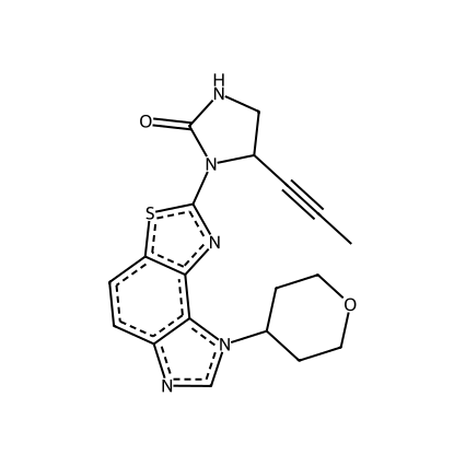 CC#CC1CNC(=O)N1c1nc2c(ccc3ncn(C4CCOCC4)c32)s1